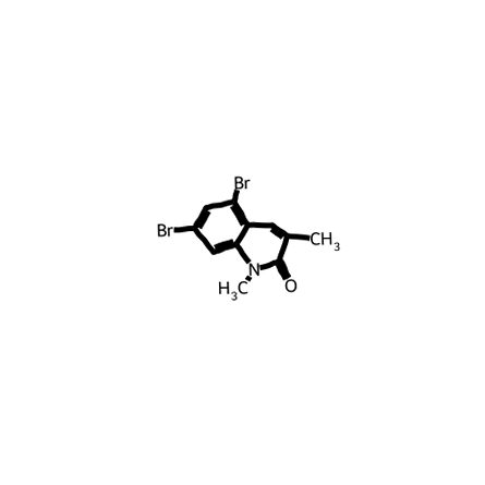 Cc1cc2c(Br)cc(Br)cc2n(C)c1=O